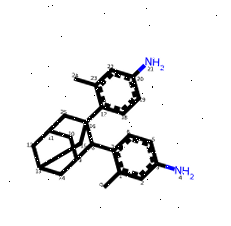 Cc1cc(N)ccc1C1C2CC3CC(C2)CC1(c1ccc(N)cc1C)C3